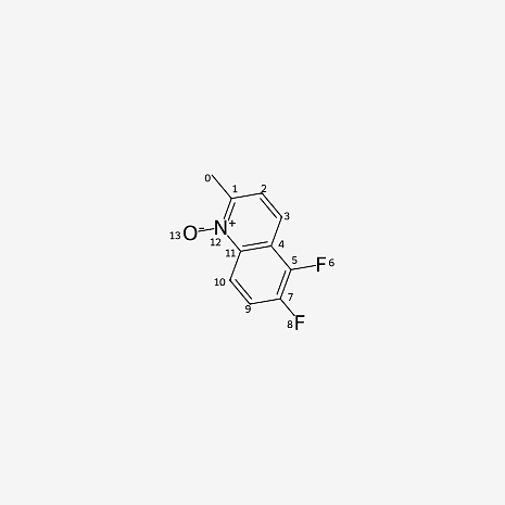 Cc1ccc2c(F)c(F)ccc2[n+]1[O-]